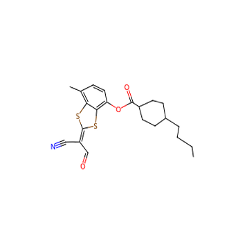 CCCCC1CCC(C(=O)Oc2ccc(C)c3c2S/C(=C(/C#N)C=O)S3)CC1